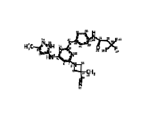 Cc1cc(Nc2cc(N3CC(C)(C#N)C3)nc(Sc3ccc(NC(=O)CC(F)(F)F)cc3)n2)[nH]n1